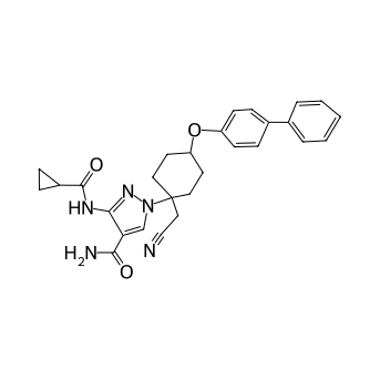 N#CCC1(n2cc(C(N)=O)c(NC(=O)C3CC3)n2)CCC(Oc2ccc(-c3ccccc3)cc2)CC1